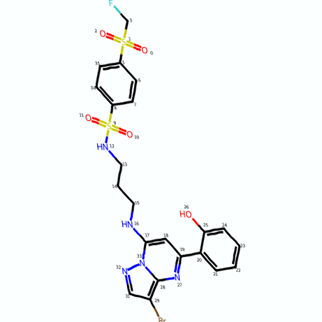 O=S(=O)(CF)c1ccc(S(=O)(=O)NCCCNc2cc(-c3ccccc3O)nc3c(Br)cnn23)cc1